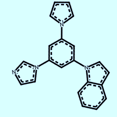 c1ccc2c(c1)ccn2-c1cc(-n2cccc2)cc(-n2ccnc2)c1